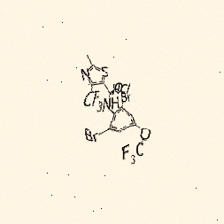 Cc1nc(C(F)(F)F)c(C(=O)Nc2c(Br)cc(OC(F)(F)F)cc2Br)s1.Cl